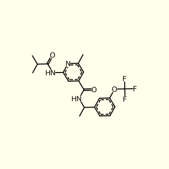 Cc1cc(C(=O)NC(C)c2cccc(OC(F)(F)F)c2)cc(NC(=O)C(C)C)n1